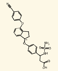 N#Cc1ccc(Oc2cccc3c2CC[C@H]3Oc2ccc(C(CC(=O)O)NS(N)(=O)=O)cc2)cc1